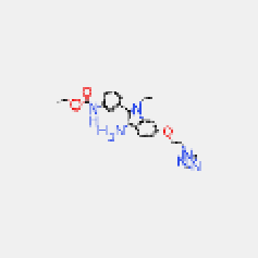 CCOC(=O)Nc1cccc(-c2c(N)c3ccc(OCCn4cncn4)cc3n2CC)c1